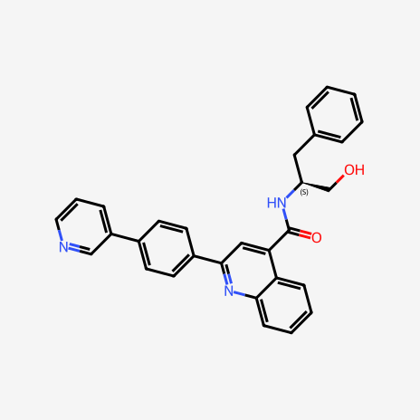 O=C(N[C@H](CO)Cc1ccccc1)c1cc(-c2ccc(-c3cccnc3)cc2)nc2ccccc12